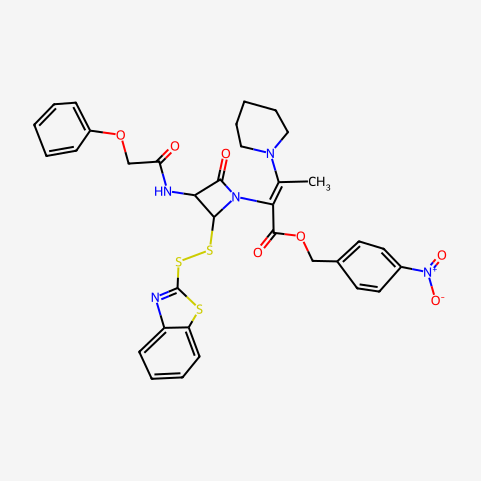 C/C(=C(\C(=O)OCc1ccc([N+](=O)[O-])cc1)N1C(=O)C(NC(=O)COc2ccccc2)C1SSc1nc2ccccc2s1)N1CCCCC1